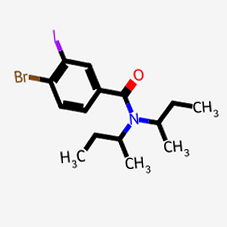 CCC(C)N(C(=O)c1ccc(Br)c(I)c1)C(C)CC